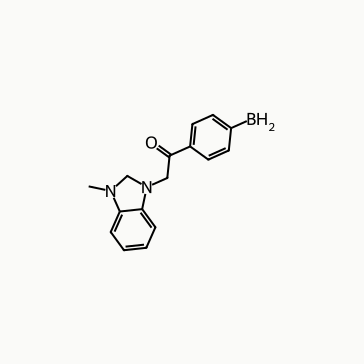 Bc1ccc(C(=O)CN2CN(C)c3ccccc32)cc1